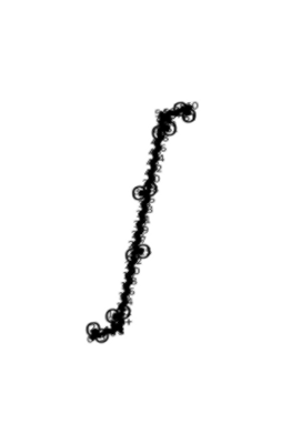 CC(=O)OCC[N+](C)(C)CC(=O)OCCCCCCCCCCOC(=O)CCCCCCCCCCC(=O)OCCCCCCCCCCOC(=O)C[N+](C)(C)CCOC(C)=O